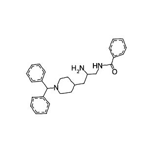 NC(CNC(=O)c1ccccc1)CC1CCN(C(c2ccccc2)c2ccccc2)CC1